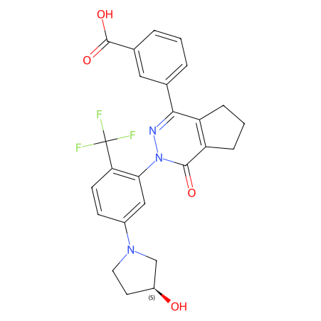 O=C(O)c1cccc(-c2nn(-c3cc(N4CC[C@H](O)C4)ccc3C(F)(F)F)c(=O)c3c2CCC3)c1